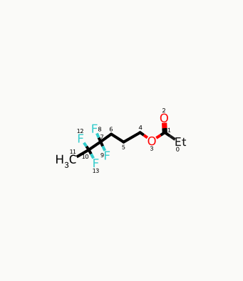 CCC(=O)OCCCC(F)(F)C(C)(F)F